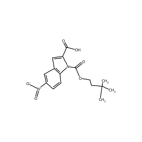 CC(C)(C)CCOC(=O)n1c(C(=O)O)cc2cc([N+](=O)[O-])ccc21